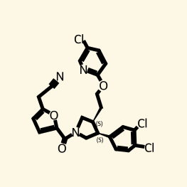 N#CCc1ccc(C(=O)N2C[C@@H](CCOc3ccc(Cl)cn3)[C@@H](c3ccc(Cl)c(Cl)c3)C2)o1